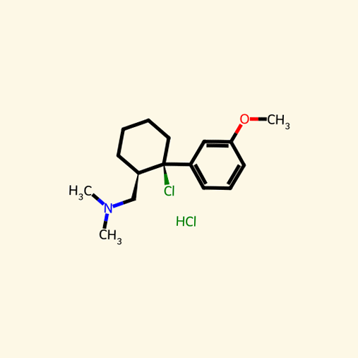 COc1cccc([C@@]2(Cl)CCCC[C@@H]2CN(C)C)c1.Cl